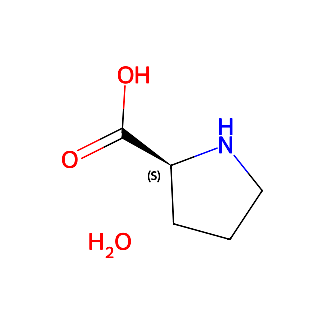 O.O=C(O)[C@@H]1CCCN1